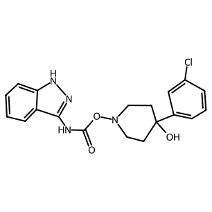 O=C(Nc1n[nH]c2ccccc12)ON1CCC(O)(c2cccc(Cl)c2)CC1